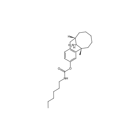 CCCCCCNC(=O)Oc1ccc2c(c1)[C@@]1(C)CCCCC[C@@H](C2)[C@@H]1N